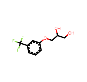 OCC(O)COc1cccc(C(F)(F)F)c1